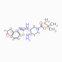 CC(C)(C)OC(=O)N1CC[C@H](N)[C@H](Nc2nc3c4c(ccc3s2)OCC4)C1